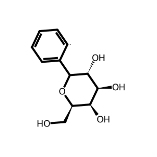 OC[C@H]1OC(c2[c]cccc2)[C@H](O)[C@@H](O)[C@H]1O